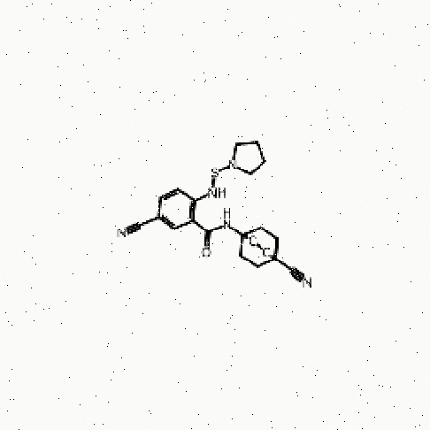 N#Cc1ccc(NSN2CCCC2)c(C(=O)NC23CCC(C#N)(CC2)CC3)c1